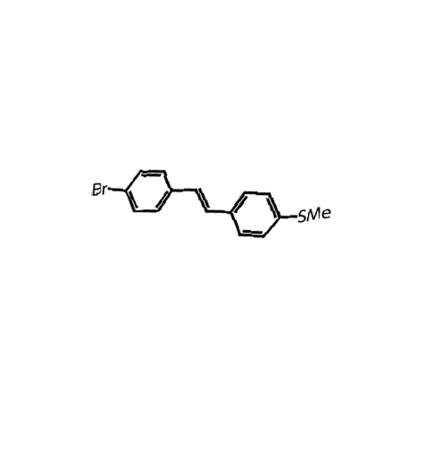 CSc1ccc(C=Cc2ccc(Br)cc2)cc1